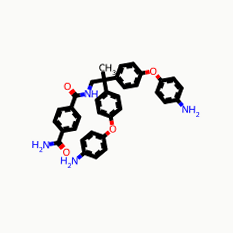 CC(CNC(=O)c1ccc(C(N)=O)cc1)(c1ccc(Oc2ccc(N)cc2)cc1)c1ccc(Oc2ccc(N)cc2)cc1